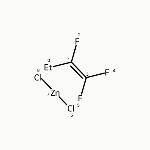 [CH2]CC(F)=C(F)F.[Cl][Zn][Cl]